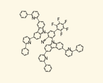 N#Cc1c(-n2c3ccc(-c4cccc(-c5ccccc5)n4)cc3c3cc(-c4cccc(-c5ccccc5)n4)ccc32)cc(-c2c(F)c(F)c(F)c(F)c2F)cc1-n1c2ccc(-c3cccc(-c4ccccc4)n3)cc2c2cc(-c3cccc(-c4ccccc4)n3)ccc21